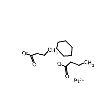 C1CCCCC1.CCCC(=O)[O-].CCCC(=O)[O-].[Pt+2]